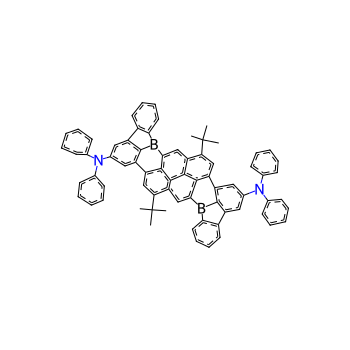 CC(C)(C)c1cc2c3c(cc4c(C(C)(C)C)cc5c6c(cc1c3c46)B1c3ccccc3-c3cc(N(c4ccccc4)c4ccccc4)cc-5c31)B1c3ccccc3-c3cc(N(c4ccccc4)c4ccccc4)cc-2c31